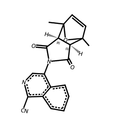 CC12C=CC(C)(O1)[C@H]1C(=O)N(c3cnc(C#N)c4ccccc34)C(=O)[C@H]12